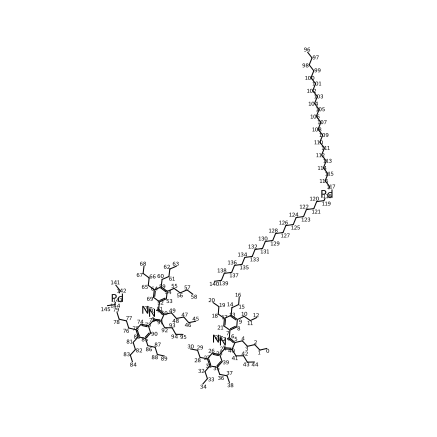 CCCCCC1=C(c2cc(CCC)c(CCC)c(CCC)c2)[N+](=[N-])C(c2cc(CCC)c(CCC)c(CCC)c2)=C1CCCC.CCCCCC1=C(c2cc(CCCC)c(CCCC)c(CCCC)c2)[N+](=[N-])C(c2cc(CCCC)c(CCCC)c(CCCC)c2)=C1CCCC.CCCCCCCCCCCCCCCCCCCCC[CH2][Pd][CH2]CCCCCCCCCCCCCCCCCCCCC.C[CH2][Pd][CH2]C